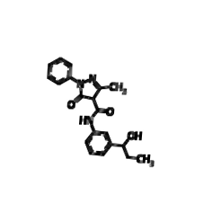 CCC(O)c1cccc(NC(=O)C2C(=O)N(c3ccccc3)N=C2C)c1